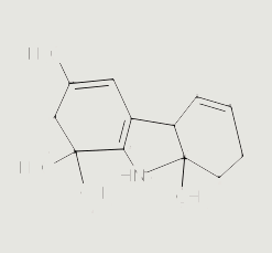 CC1=CC2=C(NC3(C)CCC=CC23)C(C)(C)C1